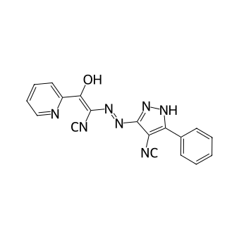 [C-]#[N+]C(/N=N/c1n[nH]c(-c2ccccc2)c1[N+]#[C-])=C(/O)c1ccccn1